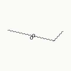 CCCCCCCC/C=C\CCCCCCCCCCCCOC(=O)CCCCCCCCCCCCCCCC